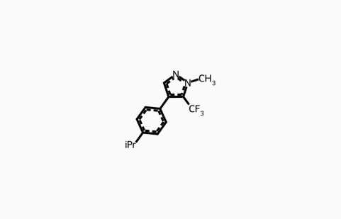 CC(C)c1ccc(-c2cnn(C)c2C(F)(F)F)cc1